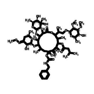 CON=C1C[C@@H](C)O[C@@H](OC2C(C)CC(C)(OC(=O)NCc3ccccc3)C(=O)C(C)C(OC(=O)CC(C)C)C(C)C(C(C)CO[C@@H]3O[C@H](C)[C@@H](O)[C@@H](OC)[C@H]3OC)OC(=O)C(C)C(O[C@H]3C[C@@](C)(O)[C@@H](O)[C@H](C)O3)C2C)[C@@H]1O